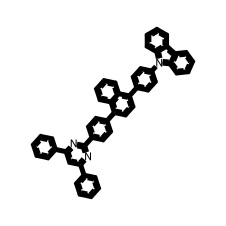 c1ccc(-c2cc(-c3ccccc3)nc(-c3ccc(-c4ccc(-c5ccc(-n6c7ccccc7c7ccccc76)cc5)c5ccccc45)cc3)n2)cc1